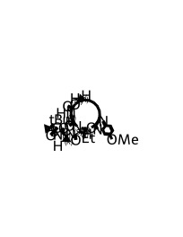 CC[C@@H]1[C@@H]2CN(C(=O)[C@H](C(C)(C)C)NC(=O)O[C@@H]3C[C@H]3CCCCCc3nc4ccc(OC)cc4nc3O2)[C@@H]1C(=O)N[C@]1(C(=O)NS(=O)(=O)C2(C)CC2)C[C@H]1C